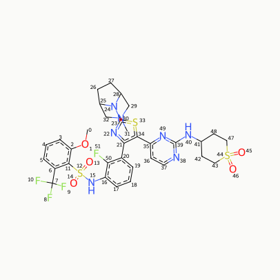 COc1cccc(C(F)(F)F)c1S(=O)(=O)Nc1cccc(-c2nc(N3C4CCC3CN(C)C4)sc2-c2ccnc(NC3CCS(=O)(=O)CC3)n2)c1F